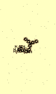 CC(C)(C)CC(c1ccc(-c2ccc3[nH]c4ccc(-c5ccc(N(c6ccc(-c7ccccc7)cc6)c6ccc(-c7ccccc7)cc6)cc5)cc4c3c2)cc1)C(C)(C)C